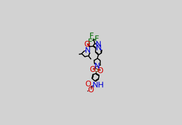 COC(=O)Nc1ccc(S(=O)(=O)N2CCC(c3ccn4nc(C(F)(F)F)c(C(=O)N5CC(C)CC(C)C5)c4c3)CC2)cc1